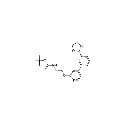 CC(C)(C)OC(=O)NCCOc1cc(-c2cccc(C3OCCO3)c2)ccn1